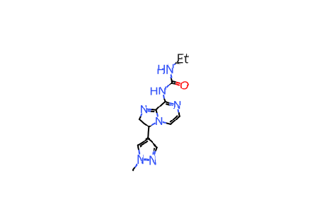 CCNC(=O)NC1=NC=CN2C1=NCC2c1cnn(C)c1